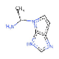 CC(N)n1ccc2nc[nH]c21